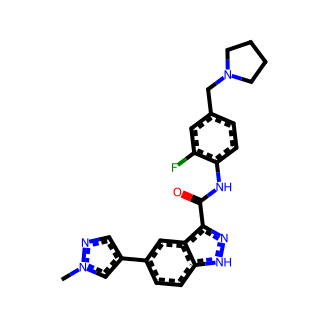 Cn1cc(-c2ccc3[nH]nc(C(=O)Nc4ccc(CN5CCCC5)cc4F)c3c2)cn1